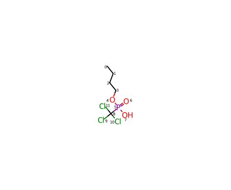 CCCCOP(=O)(O)C(Cl)(Cl)Cl